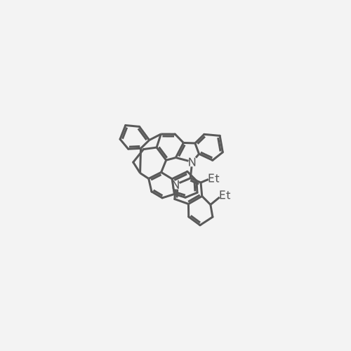 CCc1c(-n2c3ccccc3c3cc4c5c(c32)-c2c(ccc3ccccc23)C(CC5)c2ccccc2-4)ncc2c1C(CC)CC=C2